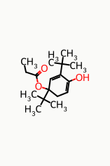 CCC(=O)OC1(C(C)(C)C)C=C(C(C)(C)C)C(O)=CC1